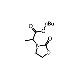 CCCCOC(=O)C(C)N1CCOC1=O